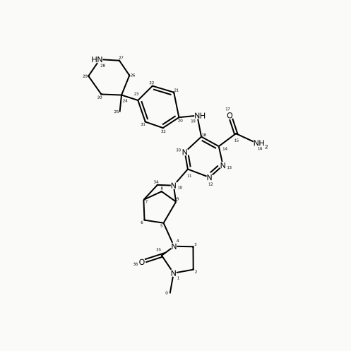 CN1CCN(C2CC3CC2N(c2nnc(C(N)=O)c(Nc4ccc(C5(C)CCNCC5)cc4)n2)C3)C1=O